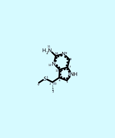 CS[C@@H](C)c1c[nH]c2cnc(N)nc12